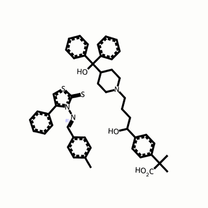 CC(C)(C(=O)O)c1ccc(C(O)CCCN2CCC(C(O)(c3ccccc3)c3ccccc3)CC2)cc1.Cc1ccc(/C=N/n2c(-c3ccccc3)csc2=S)cc1